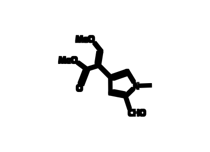 COC=C(C(=O)OC)c1cc(C=O)n(C)c1